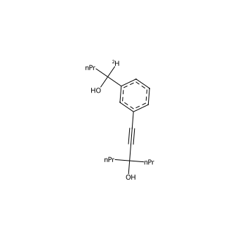 [2H]C(O)(CCC)c1cccc(C#CC(O)(CCC)CCC)c1